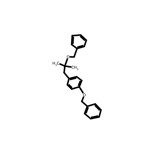 CC(C)([CH]c1ccc(OCc2ccccc2)cc1)OCc1ccccc1